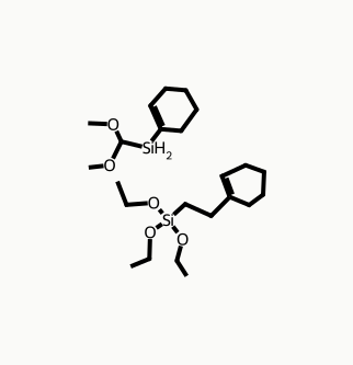 CCO[Si](CCC1=CCCCC1)(OCC)OCC.COC(OC)[SiH2]C1=CCCCC1